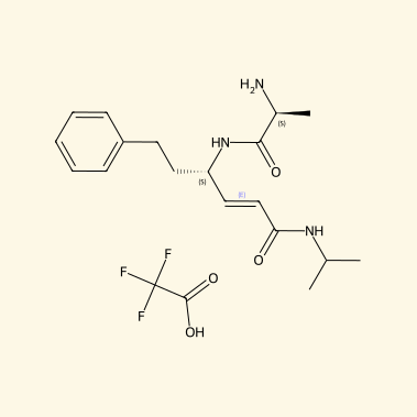 CC(C)NC(=O)/C=C/[C@H](CCc1ccccc1)NC(=O)[C@H](C)N.O=C(O)C(F)(F)F